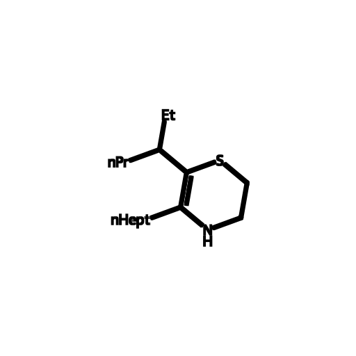 CCCCCCCC1=C(C(CC)CCC)SCCN1